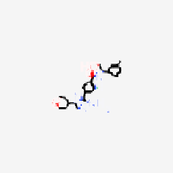 Cc1cccc(C(CO)NC(=O)c2ccc(-c3nc(C4CCOCC4)cnc3N)cc2F)c1